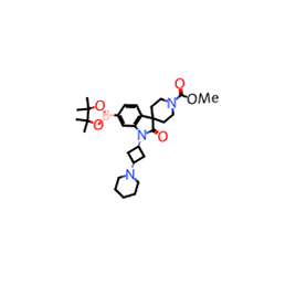 COC(=O)N1CCC2(CC1)C(=O)N([C@H]1C[C@@H](N3CCCCC3)C1)c1cc(B3OC(C)(C)C(C)(C)O3)ccc12